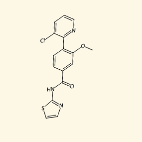 COc1cc(C(=O)Nc2nccs2)ccc1-c1ncccc1Cl